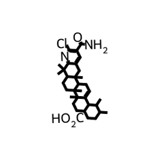 CC1CCC2(C(=O)O)CCC3(C)C(=CCC4C5(C)Cc6cc(C(N)=O)c(Cl)nc6C(C)(C)C5CCC43C)C2C1C